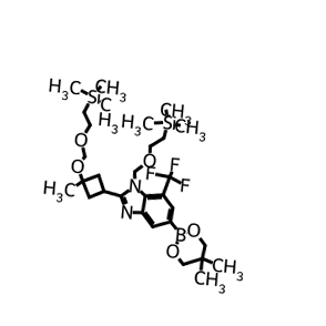 CC1(C)COB(c2cc(C(F)(F)F)c3c(c2)nc(C2CC(C)(OCOCC[Si](C)(C)C)C2)n3COCC[Si](C)(C)C)OC1